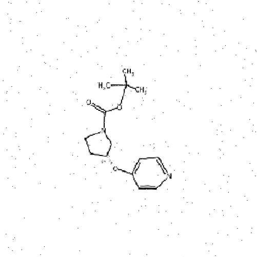 CC(C)(C)OC(=O)N1CC[C@@H](Oc2ccncc2)C1